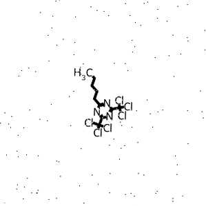 CCCCCc1nc(C(Cl)(Cl)Cl)nc(C(Cl)(Cl)Cl)n1